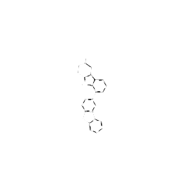 CC1=Cc2c(oc3c(-c4ccc5c(c4)-c4ccccc4C5)cccc23)CC1